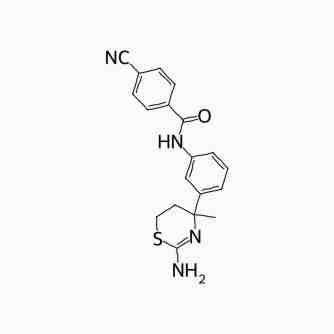 CC1(c2cccc(NC(=O)c3ccc(C#N)cc3)c2)CCSC(N)=N1